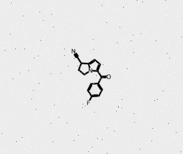 N#CC1CCn2c(C(=O)c3ccc(F)cc3)ccc21